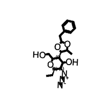 CC[C@H]1OC(CO)[C@@H](C2OC(Cc3ccccc3)OC2C)C(O)[C@@H]1N=[N+]=[N-]